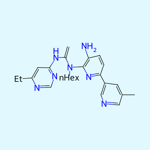 C=C(Nc1cc(CC)ncn1)N(CCCCCC)c1nc(-c2cncc(C)c2)ccc1N